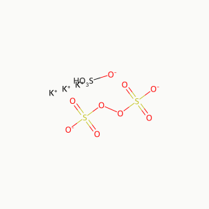 O=S(=O)([O-])O.O=S(=O)([O-])OOS(=O)(=O)[O-].[K+].[K+].[K+]